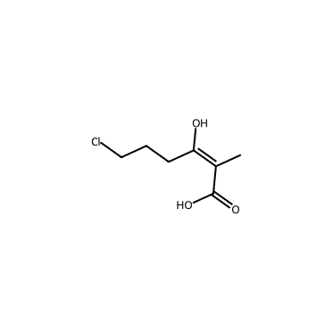 CC(C(=O)O)=C(O)CCCCl